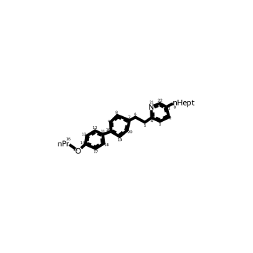 CCCCCCCc1ccc(CCc2ccc(-c3ccc(OCCC)cc3)cc2)nc1